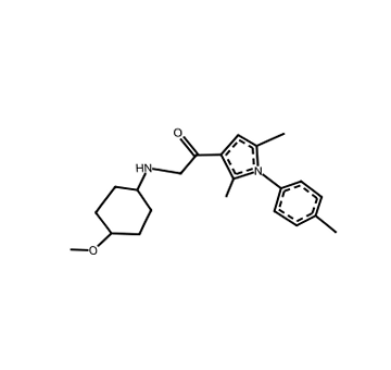 COC1CCC(NCC(=O)c2cc(C)n(-c3ccc(C)cc3)c2C)CC1